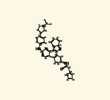 CC(C)N1CCC(c2ccc(Nc3nccc(-c4c(-c5cccc(NC(=O)Cc6cccs6)c5)nc5ccccn45)n3)cc2)C1